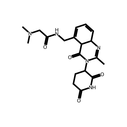 CC1=NC2C=CC=C(CNC(=O)CN(C)C)C2C(=O)N1C1CCC(=O)NC1=O